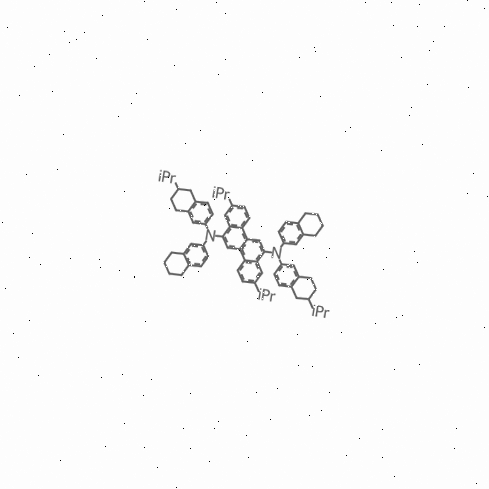 CC(C)c1ccc2c(c1)c(N(c1ccc3c(c1)CCCC3)c1ccc3c(c1)CCC(C(C)C)C3)cc1c3ccc(C(C)C)cc3c(N(c3ccc4c(c3)CCCC4)c3ccc4c(c3)CCC(C(C)C)C4)cc21